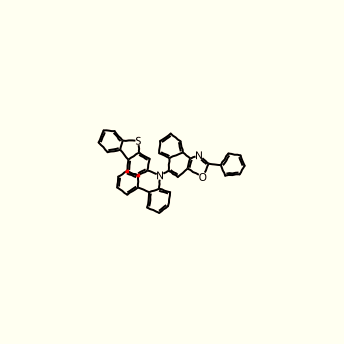 c1ccc(-c2nc3c(cc(N(c4ccc5c(c4)sc4ccccc45)c4ccccc4-c4ccccc4)c4ccccc43)o2)cc1